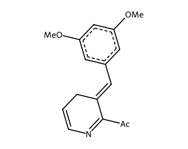 COc1cc(C=C2CC=CN=C2C(C)=O)cc(OC)c1